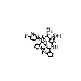 CC(C)c1cc(Nc2nc(N3CCC[C@H]3C(=O)Nc3ccc(F)nc3)nc3c2CCC3)nn1O